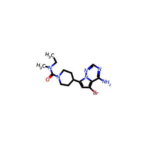 CCN(C)C(=O)N1CCC(c2cc(Br)c3c(N)ncnn23)CC1